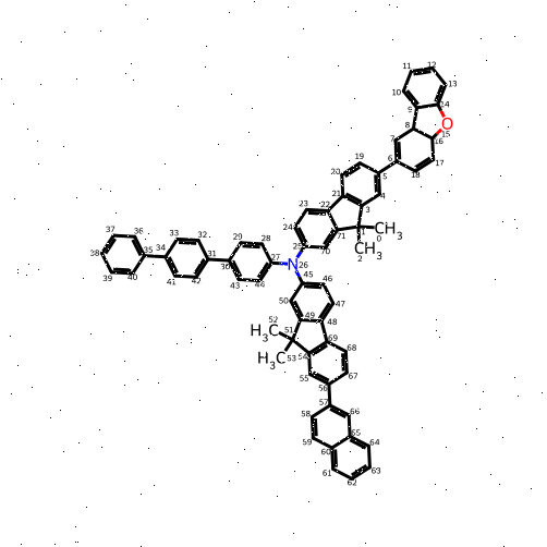 CC1(C)c2cc(C3=CC4c5ccccc5OC4C=C3)ccc2-c2ccc(N(c3ccc(-c4ccc(-c5ccccc5)cc4)cc3)c3ccc4c(c3)C(C)(C)c3cc(-c5ccc6ccccc6c5)ccc3-4)cc21